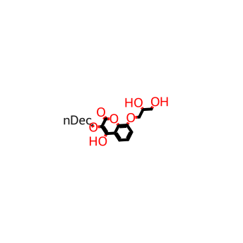 CCCCCCCCCCOc1c(O)c2cccc(OCC(O)CO)c2oc1=O